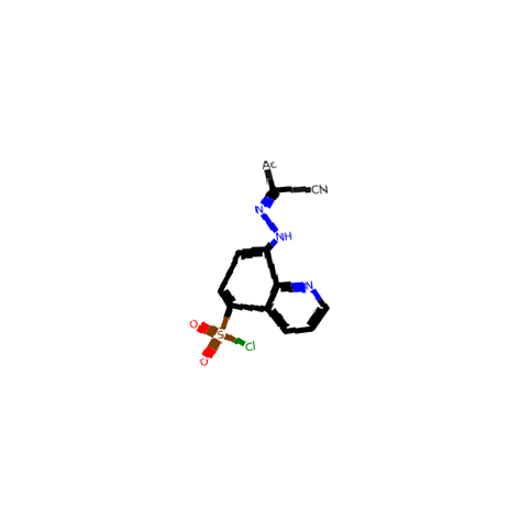 CC(=O)/C(C#N)=N/Nc1ccc(S(=O)(=O)Cl)c2cccnc12